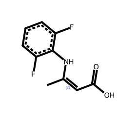 C/C(=C/C(=O)O)Nc1c(F)cccc1F